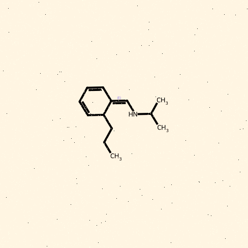 CCCC1C=CC=C/C1=C/NC(C)C